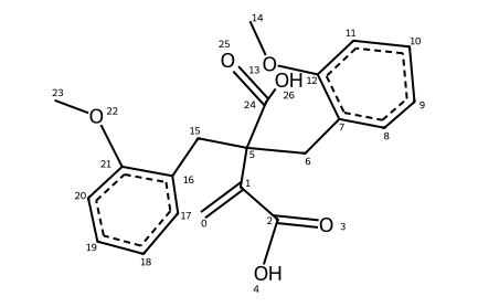 C=C(C(=O)O)C(Cc1ccccc1OC)(Cc1ccccc1OC)C(=O)O